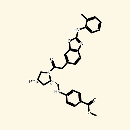 COC(=O)c1ccc(NC[C@@H]2C[C@H](F)CN2C(=O)Cc2ccc3nc(Nc4ccccc4C)oc3c2)cc1